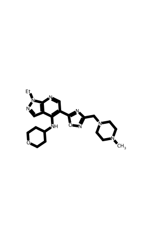 CCn1ncc2c(NC3CCOCC3)c(-c3nc(CN4CCN(C)CC4)no3)cnc21